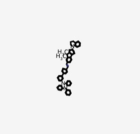 CC1(C)c2cc(/C=C/c3ccc(-c4cccc(N5c6ccccc6N(c6ccccc6)c6ccccc65)c4)cc3)ccc2-c2ccc(N3CCCc4ccccc43)cc21